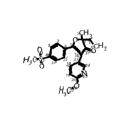 CCC1(C)OC(c2ccc(S(C)(=O)=O)cc2)=C(c2ccc(OC)nc2)C1=O